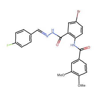 COc1ccc(C(=O)Nc2ccc(Br)cc2C(=O)N/N=C/c2ccc(F)cc2)cc1OC